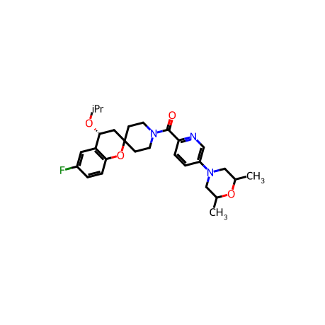 CC(C)O[C@@H]1CC2(CCN(C(=O)c3ccc(N4CC(C)OC(C)C4)cn3)CC2)Oc2ccc(F)cc21